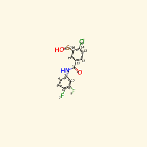 O=C(Nc1ccc(F)c(F)c1)c1ccc(Cl)c(SO)c1